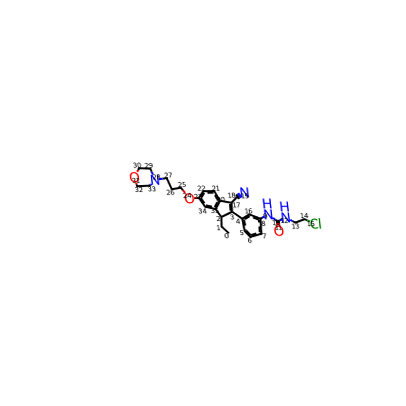 CCC1C(c2cccc(NC(=O)NCCCl)c2)=C(C#N)c2ccc(OCCCN3CCOCC3)cc21